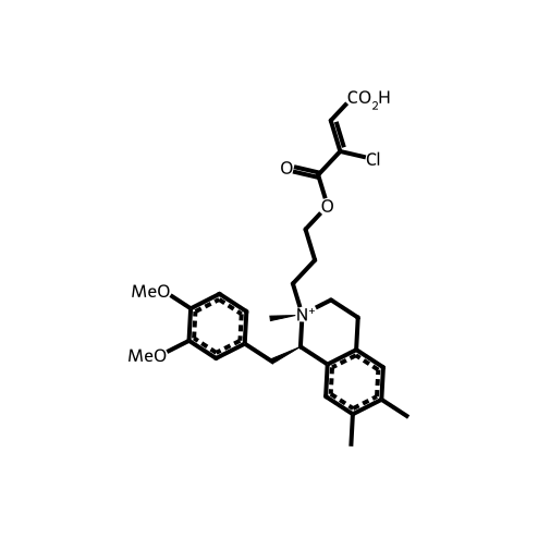 COc1ccc(C[C@@H]2c3cc(C)c(C)cc3CC[N@@+]2(C)CCCOC(=O)/C(Cl)=C/C(=O)O)cc1OC